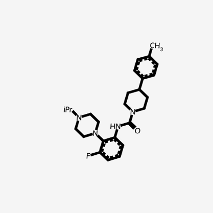 Cc1ccc(C2CCN(C(=O)Nc3cccc(F)c3N3CCN(C(C)C)CC3)CC2)cc1